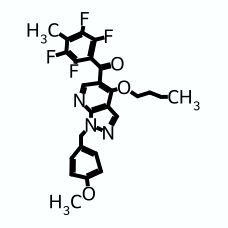 CCCCOc1c(C(=O)c2c(F)c(F)c(C)c(F)c2F)cnc2c1cnn2Cc1ccc(OC)cc1